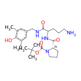 Cc1cc(CNC(=O)C(CCCN)NC(=O)[C@@H]2CCCN2C(=O)OC(C)(C)C)cc(C)c1O